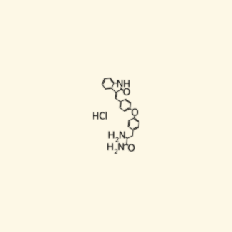 Cl.NC(=O)C(N)Cc1ccc(Oc2ccc(C=C3C(=O)Nc4ccccc43)cc2)cc1